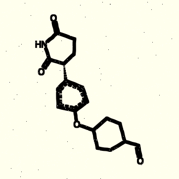 O=CC1CCC(Oc2ccc([C@H]3CCC(=O)NC3=O)cc2)CC1